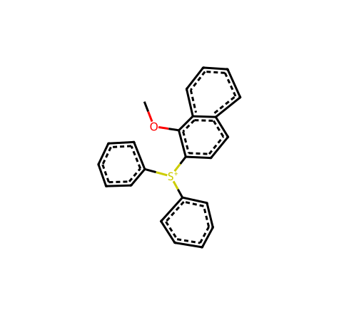 COc1c([S+](c2ccccc2)c2ccccc2)ccc2ccccc12